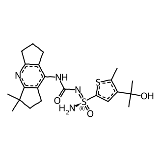 Cc1sc([S@](N)(=O)=NC(=O)Nc2c3c(nc4c2CCC4(C)C)CCC3)cc1C(C)(C)O